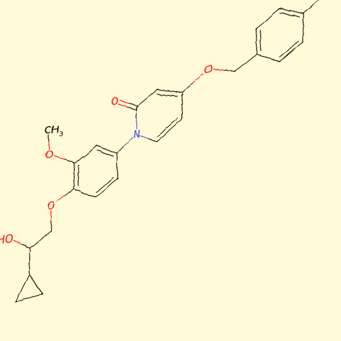 COc1cc(-n2ccc(OCc3ccc(Cl)cc3)cc2=O)ccc1OCC(O)C1CC1